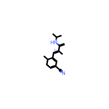 C=C(NC(C)C)/C(C)=C/C1=CC(C#N)=CCC1C